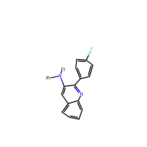 CCN(c1cc2ccccc2nc1-c1ccc(F)cc1)C(C)C